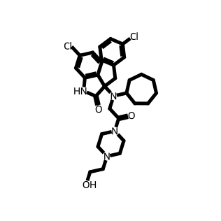 O=C(CN(C1CCCCCC1)C1(Cc2cccc(Cl)c2)C(=O)Nc2cc(Cl)ccc21)N1CCN(CCO)CC1